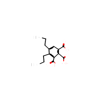 CCCc1cc(C(=O)O)c(C(=O)O)c(C(=O)O)c1CCC